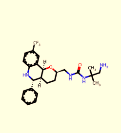 CC(C)(CN)NC(=O)NC[C@H]1CC[C@@H]2[C@H](O1)c1cc(C(F)(F)F)ccc1N[C@H]2c1ccccc1